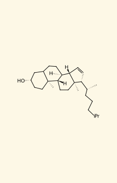 CC(C)CCC[C@@H](C)[C@H]1C=C[C@H]2[C@@H]3CCC4C[C@@H](O)CC[C@]4(C)[C@H]3CC[C@]12C